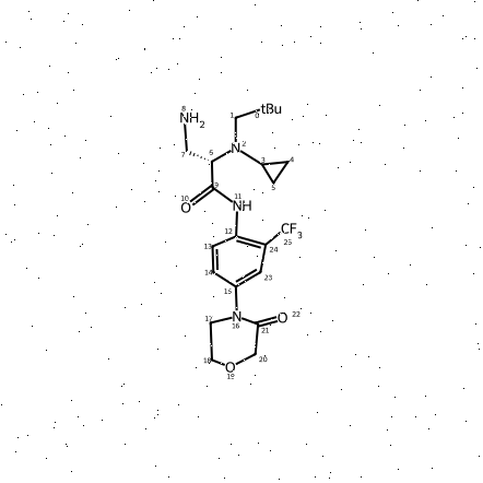 CC(C)(C)CN(C1CC1)[C@@H](CN)C(=O)Nc1ccc(N2CCOCC2=O)cc1C(F)(F)F